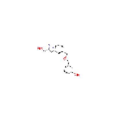 NC(CO)Cc1cccc(COCc2cccc(O)c2)c1